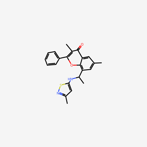 Cc1cc(C(C)Nc2cc(C)ns2)c2oc(-c3ccccc3)c(C)c(=O)c2c1